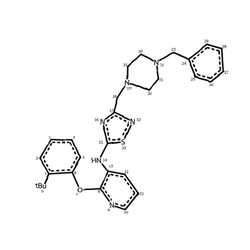 CC(C)(C)c1ccccc1Oc1ncccc1Nc1nc(CN2CCN(Cc3ccccc3)CC2)ns1